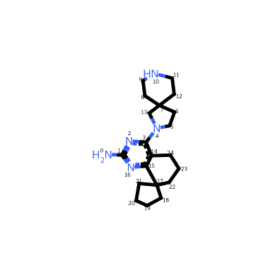 Nc1nc(N2CCC3(CCNCC3)C2)c2c(n1)C1(CCCC1)CCC2